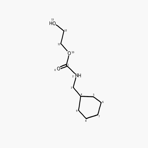 O=C(NCC1CCCCC1)OCCO